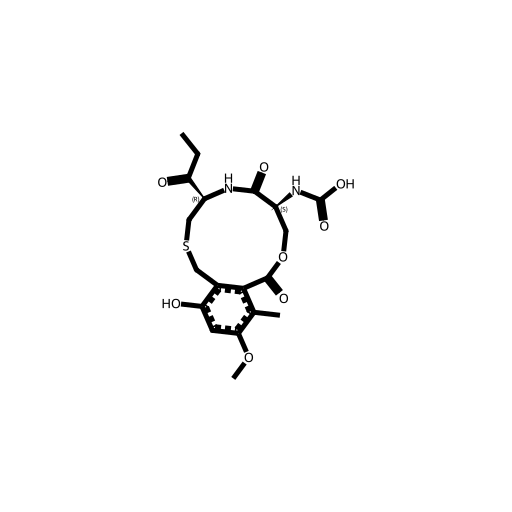 CCC(=O)[C@@H]1CSCc2c(O)cc(OC)c(C)c2C(=O)OC[C@H](NC(=O)O)C(=O)N1